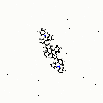 c1ccc(-n2c3ccccc3c3c(-c4ccc5c(c4)c4ccccc4c4c6ccc(-c7cccc8c7c7ccccc7n8-c7ccccc7)cc6c6ccccc6c54)cccc32)cc1